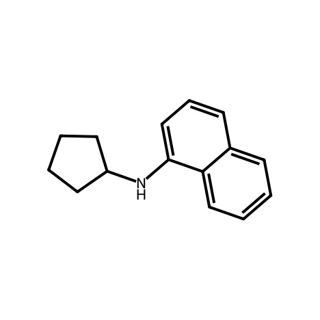 c1ccc2c(NC3CCCC3)cccc2c1